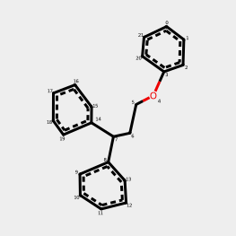 [c]1ccc(OCCC(c2ccccc2)c2ccccc2)cc1